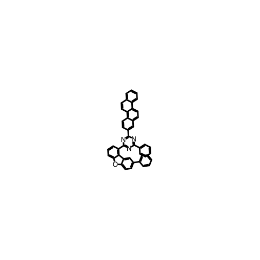 c1ccc(-c2ccc3oc4cccc(-c5nc(-c6ccccc6)nc(-c6ccc7c(ccc8c9ccccc9ccc78)c6)n5)c4c3c2)cc1